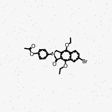 CCOc1c2c(c(OCC)c3cc(Br)ccc13)C(=O)N(c1ccc(OC(C)=O)cc1)C2